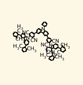 C/C=C\c1c(/C=C/c2c(C)cccc2C)c2cc(-c3c(C)cccc3C)ccc2n1-c1c(C#N)cc(-c2ccc3c(c2)c2cc(-c4cc(C#N)c(-n5c6ccc(-c7c(C)cccc7C)cc6c6cc(-c7c(C)cccc7C)ccc65)c(C#N)c4)ccc2n3-c2ccccc2)cc1C#N